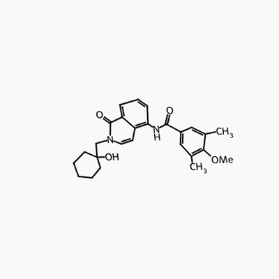 COc1c(C)cc(C(=O)Nc2cccc3c(=O)n(CC4(O)CCCCC4)ccc23)cc1C